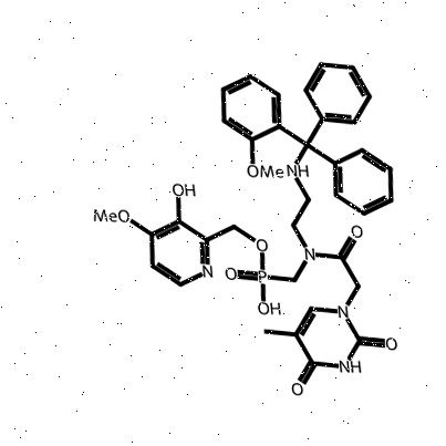 COc1ccccc1C(NCCN(CP(=O)(O)OCc1nccc(OC)c1O)C(=O)Cn1cc(C)c(=O)[nH]c1=O)(c1ccccc1)c1ccccc1